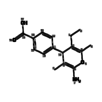 CCC1=C(C)OC(N)=C(C)C1c1ccc(C(=O)O)cc1